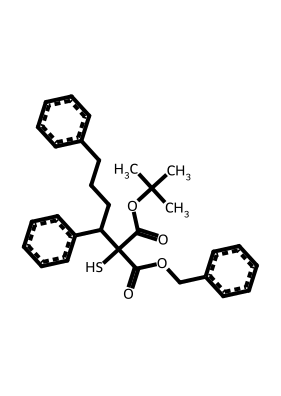 CC(C)(C)OC(=O)C(S)(C(=O)OCc1ccccc1)C(CCCc1ccccc1)c1ccccc1